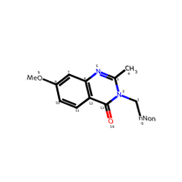 CCCCCCCCCCn1c(C)nc2cc(OC)ccc2c1=O